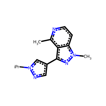 Cc1nccc2c1c(-c1cnn(C(C)C)c1)nn2C